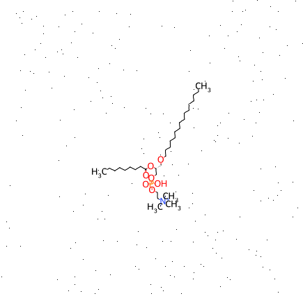 CCCCCCCCCCCCCCCCOC[C@H](COP(=O)(O)OCC[N+](C)(C)C)OC(=O)CCCCCCCC